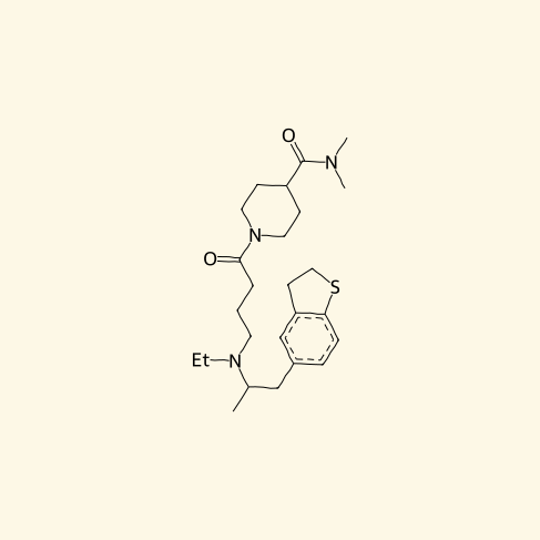 CCN(CCCC(=O)N1CCC(C(=O)N(C)C)CC1)C(C)Cc1ccc2c(c1)CCS2